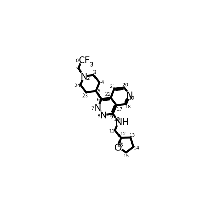 FC(F)(F)CN1CCC(c2nnc(NCC3CCCO3)c3cnccc23)CC1